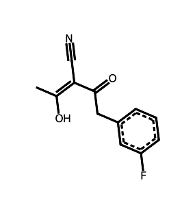 CC(O)=C(C#N)C(=O)Cc1cccc(F)c1